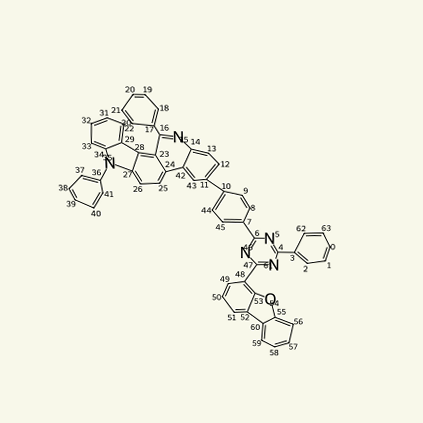 c1ccc(-c2nc(-c3ccc(-c4ccc5nc(-c6ccccc6)c6c(ccc7c6c6ccccc6n7-c6ccccc6)c5c4)cc3)nc(-c3cccc4c3oc3ccccc34)n2)cc1